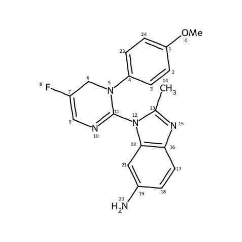 COc1ccc(N2CC(F)=CN=C2n2c(C)nc3ccc(N)cc32)cc1